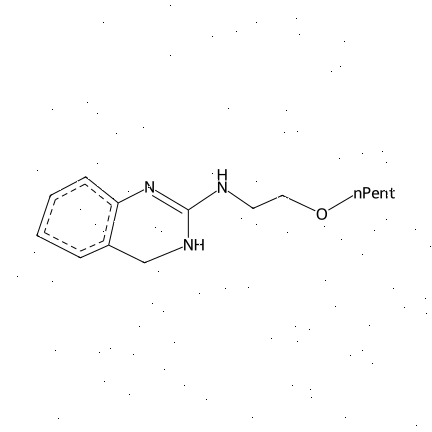 CCCCCOCCNC1=Nc2ccccc2CN1